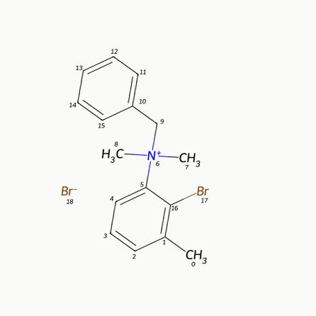 Cc1cccc([N+](C)(C)Cc2ccccc2)c1Br.[Br-]